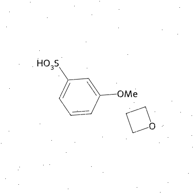 C1COC1.COc1cccc(S(=O)(=O)O)c1